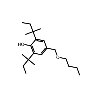 CCCCOCc1cc(C(C)(C)CC)c(O)c(C(C)(C)CC)c1